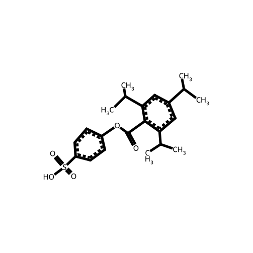 CC(C)c1cc(C(C)C)c(C(=O)Oc2ccc(S(=O)(=O)O)cc2)c(C(C)C)c1